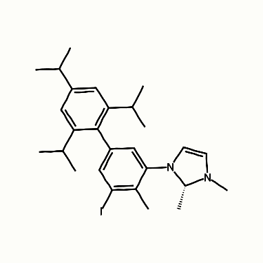 Cc1c(I)cc(-c2c(C(C)C)cc(C(C)C)cc2C(C)C)cc1N1C=CN(C)[C@@H]1C